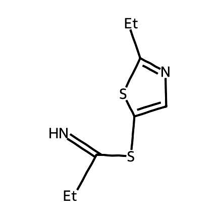 CCC(=N)Sc1cnc(CC)s1